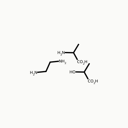 CC(N)C(=O)O.CC(O)C(=O)O.NCCN